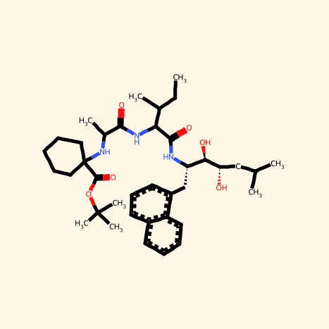 CCC(C)C(NC(=O)C(C)NC1(C(=O)OC(C)(C)C)CCCCC1)C(=O)N[C@@H](Cc1cccc2ccccc12)[C@@H](O)[C@@H](O)CC(C)C